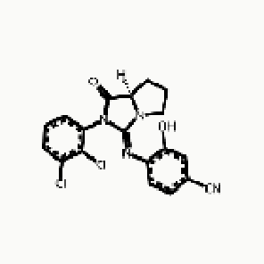 N#Cc1ccc(/N=C2/N(c3cccc(Cl)c3Cl)C(=O)[C@H]3CCCN23)c(O)c1